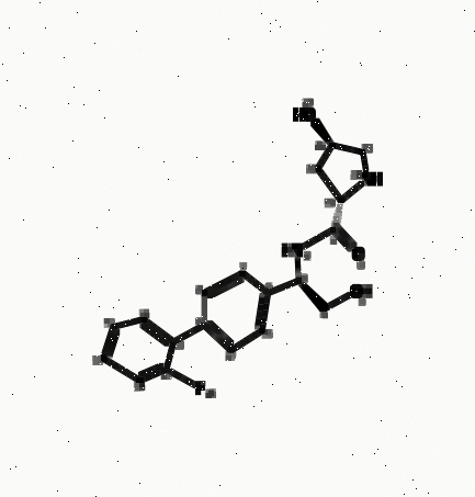 O=C(N[C@@H](CO)c1ccc(-c2ccccc2F)cc1)[C@@H]1C[C@@H](O)CN1